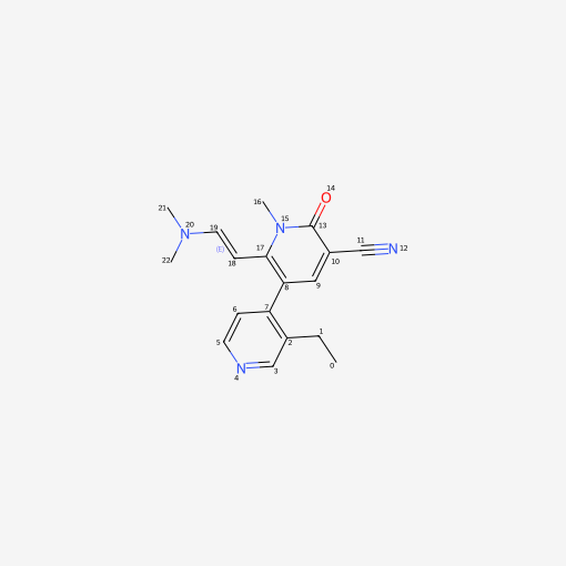 CCc1cnccc1-c1cc(C#N)c(=O)n(C)c1/C=C/N(C)C